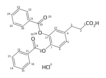 Cl.O=C(O)CCc1ccc(OC(=O)c2ccccc2)c(OC(=O)c2ccccc2)c1